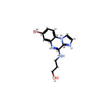 OCCCNc1nc2cc(Br)ccc2n2ccnc12